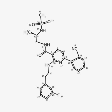 C[C@H](CNC(=O)c1ccc(-c2ccccc2C#N)nc1NCCc1cccc(F)c1)NS(C)(=O)=O